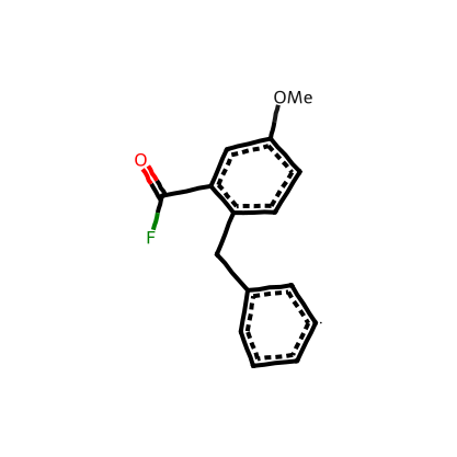 COc1ccc(Cc2c[c]ccc2)c(C(=O)F)c1